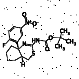 CC(C)(C)OC(=O)NC1=N[C@@]2(c3cc([N+](=O)[O-])ccc3F)CCCC[C@H]2CS1